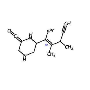 C#CC(C)/C(C)=C(\CCC)C1CNCC(=C=O)N1